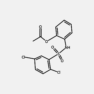 CC(=O)Oc1ccccc1NS(=O)(=O)c1cc(Cl)ccc1Cl